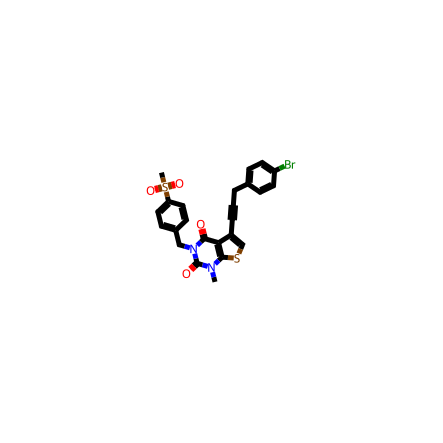 Cn1c(=O)n(Cc2ccc(S(C)(=O)=O)cc2)c(=O)c2c(C#CCc3ccc(Br)cc3)csc21